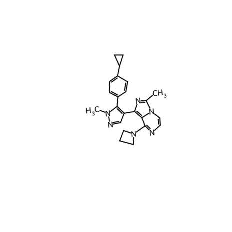 Cc1nc(-c2cnn(C)c2-c2ccc(C3CC3)cc2)c2c(N3CCC3)nccn12